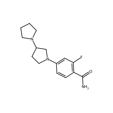 NC(=O)c1ccc(N2CCC(N3CCCC3)C2)cc1F